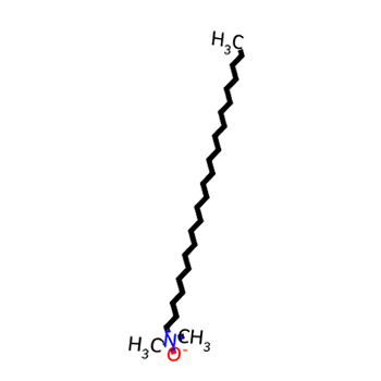 CCCCCCCCCCCCCCCCCCCCCCCCC[N+](C)(C)[O-]